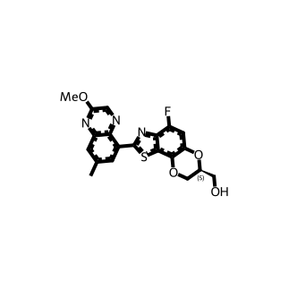 COc1cnc2c(-c3nc4c(F)cc5c(c4s3)OC[C@H](CO)O5)cc(C)cc2n1